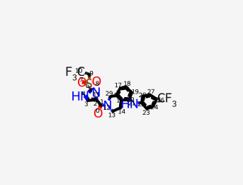 O=C(c1c[nH]c(S(=O)(=O)CC(F)(F)F)n1)N1CCc2c(cccc2Nc2ccc(C(F)(F)F)cc2)C1